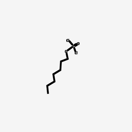 CCCCCCCOP(=O)(Cl)Cl